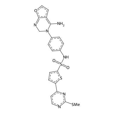 CSc1nccc(-c2ccc(S(=O)(=O)Nc3ccc(N4CN=c5occc5=C4N)cc3)s2)n1